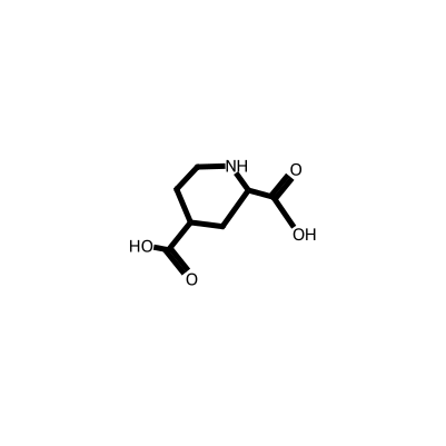 O=C(O)C1CCNC(C(=O)O)C1